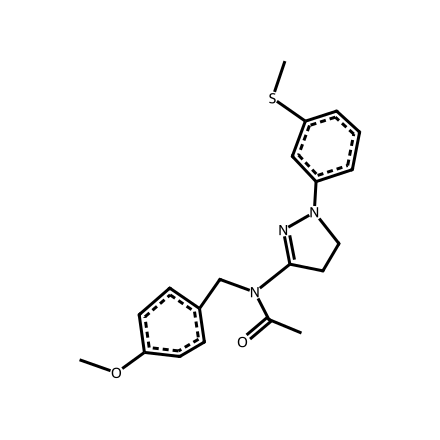 COc1ccc(CN(C(C)=O)C2=NN(c3cccc(SC)c3)CC2)cc1